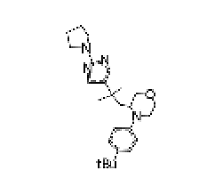 CC(C)(C)c1ccc(N2CCOCC2CC(C)(C)c2cnc(N3CCCC3)nc2)cc1